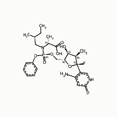 CCC(C)CN([C@H](C)C(=O)O)[P@@](=O)(OC[C@H]1O[C@@](F)(c2c[nH]c(=O)nc2N)[C@H](C)[C@@H]1O)Oc1ccccc1